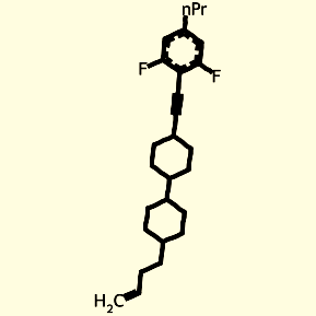 C=CCCC1CCC(C2CCC(C#Cc3c(F)cc(CCC)cc3F)CC2)CC1